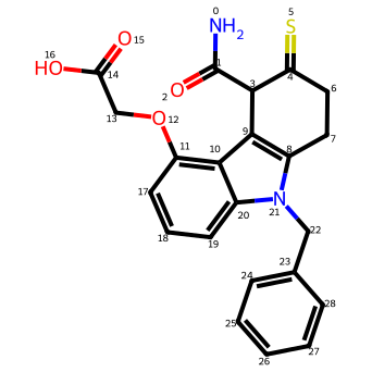 NC(=O)C1C(=S)CCc2c1c1c(OCC(=O)O)cccc1n2Cc1ccccc1